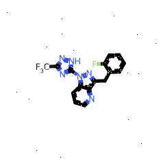 Fc1ccccc1Cc1nn(-c2nc(C(F)(F)F)n[nH]2)c2cccnc12